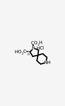 Cl.O=C(O)[C@@H]1CC2(CCNCC2)CN1C(=O)O